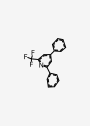 FC(F)(F)c1cc(-c2ccccc2)cc(-c2ccccc2)n1